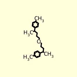 Cc1ccc(C(C)CCCOCCCC(C)c2ccc(C)cc2)cc1